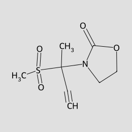 C#CC(C)(N1CCOC1=O)S(C)(=O)=O